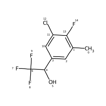 Cc1cc(C(O)C(F)(F)F)cc(Cl)c1F